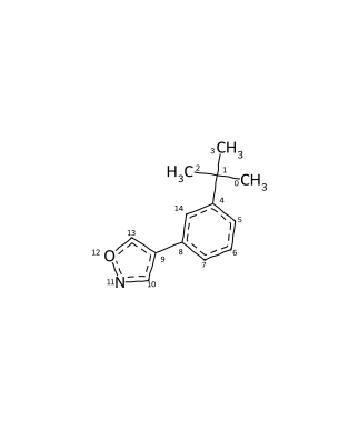 CC(C)(C)c1cccc(-c2cnoc2)c1